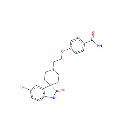 NC(=O)c1ccc(OCCN2CCC3(CC2)C(=O)Nc2ccc(Cl)cc23)cn1